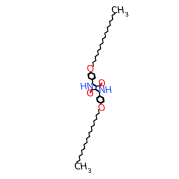 CCCCCCCCCCCCCCCCCCCCOc1ccc(C2=C3C(=O)NC(c4ccc(OCCCCCCCCCCCCCCCCCCCC)cc4)=C3C(=O)N2)cc1